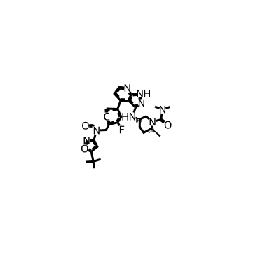 C[C@H]1CC[C@@H](Nc2n[nH]c3nccc(-c4ccc(CN(C=O)c5cc(C(C)(C)C)on5)c(F)c4)c23)CN1C(=O)N(C)C